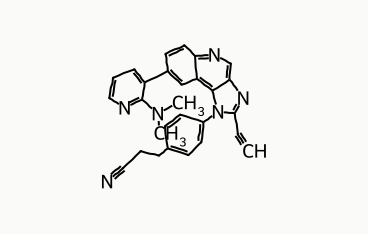 C#Cc1nc2cnc3ccc(-c4cccnc4N(C)C)cc3c2n1-c1ccc(CCC#N)cc1